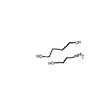 NCCO.OCCCCO